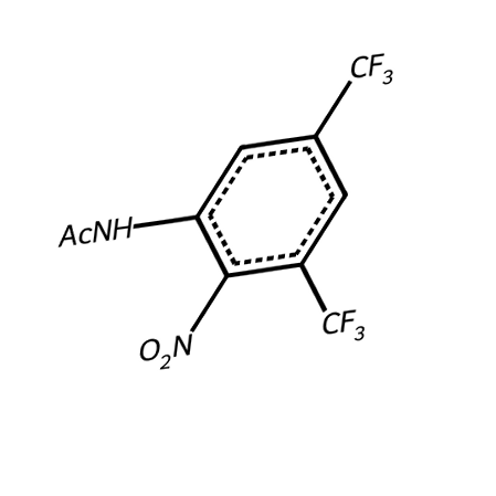 CC(=O)Nc1cc(C(F)(F)F)cc(C(F)(F)F)c1[N+](=O)[O-]